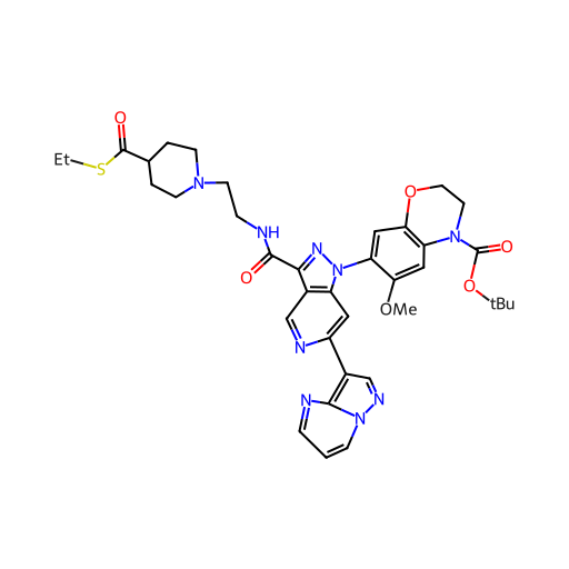 CCSC(=O)C1CCN(CCNC(=O)c2nn(-c3cc4c(cc3OC)N(C(=O)OC(C)(C)C)CCO4)c3cc(-c4cnn5cccnc45)ncc23)CC1